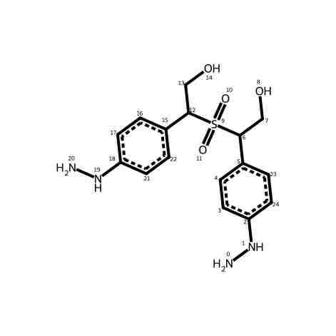 NNc1ccc(C(CO)S(=O)(=O)C(CO)c2ccc(NN)cc2)cc1